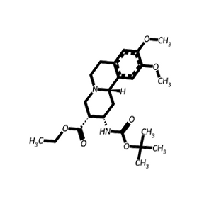 CCOC(=O)[C@@H]1CN2CCc3cc(OC)c(OC)cc3[C@@H]2C[C@@H]1NC(=O)OC(C)(C)C